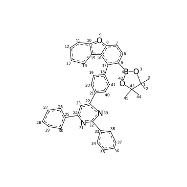 CC1(C)OB(c2ccc3oc4ccccc4c3c2-c2ccc(-c3cc(-c4ccccc4)nc(-c4ccccc4)n3)cc2)OC1(C)C